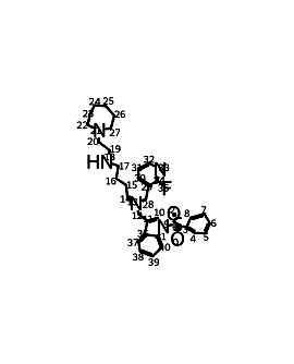 O=S(=O)(c1ccccc1)n1cc(CN(CCCCNCCN2CCCCCC2)Cc2cccnc2F)c2ccccc21